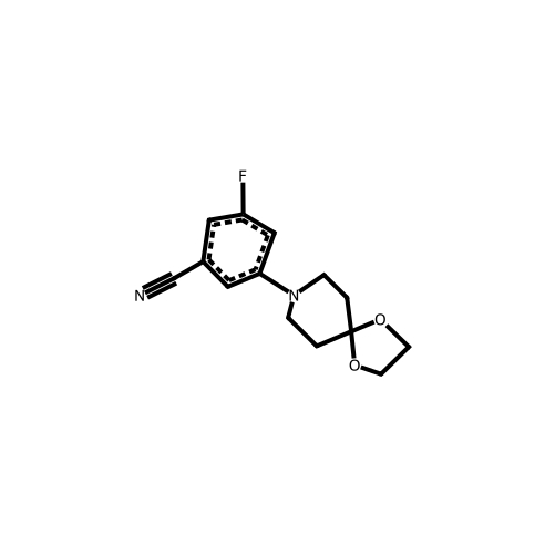 N#Cc1cc(F)cc(N2CCC3(CC2)OCCO3)c1